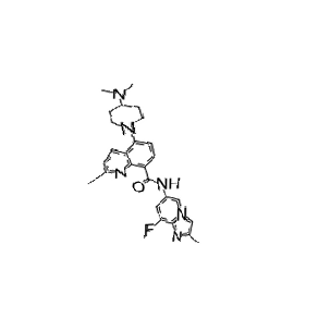 Cc1ccc2c(N3CCC(N(C)C)CC3)ccc(C(=O)Nc3cc(F)c4nc(C)cn4c3)c2n1